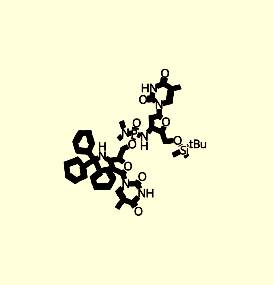 Cc1cn(C2CC(NC(c3ccccc3)(c3ccccc3)c3ccccc3)C(COP(=O)(NC3CC(n4cc(C)c(=O)[nH]c4=O)OC3CO[Si](C)(C)C(C)(C)C)N(C)C)O2)c(=O)[nH]c1=O